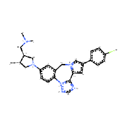 C[C@H]1CN(c2ccc3c(c2)Cn2cc(-c4ccc(F)cc4)cc2-c2ncnn2-3)C[C@@H]1CN(C)C